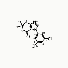 CC1(C)CC(=O)c2c(ncn2-c2cc(Cl)cc(Cl)c2)C1